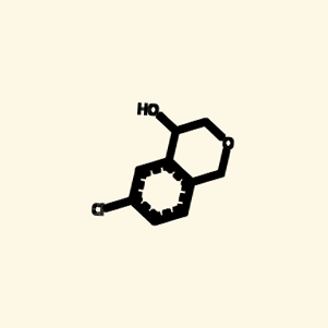 OC1COCc2ccc(Cl)cc21